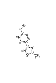 FC(F)(F)c1nc(-c2ccc(CBr)nc2)no1